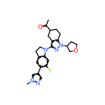 CC(=O)C1CCc2c(c(N3CCc4cc(-c5cnn(C)c5)c(F)cc43)nn2C2CCOC2)C1